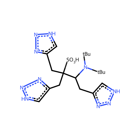 CC(C)(C)N(C(Cc1c[nH]nn1)C(Cc1c[nH]nn1)(Cc1c[nH]nn1)S(=O)(=O)O)C(C)(C)C